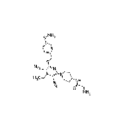 CCc1c(C#N)c(SCc2ccc(SN)cc2)nc(N2CCC(NC(=O)CN)CC2)c1C#N